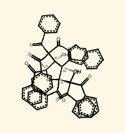 O=C(c1ccccc1)C(C(=O)c1ccccc1)(C(=O)c1ccccc1)[C@@]1(O)[C@@](O)(C(=O)c2ccccc2)[C@@](C(=O)c2ccccc2)(C(O)(C(=O)c2ccccc2)C(=O)c2ccccc2)O[C@@]1(O)C(=O)c1ccccc1